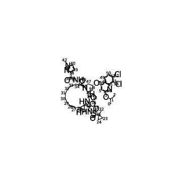 CC(C)Oc1cc(O[C@@H]2C[C@H]3C(=O)N[C@]4(C(=O)NS(=O)(=O)C5(C)CC5)C[C@H]4/C=C\CCCCC[C@H](NC(=O)c4ccn(C)n4)C(=O)N3C2)c2ccc(Cl)c(Cl)c2n1